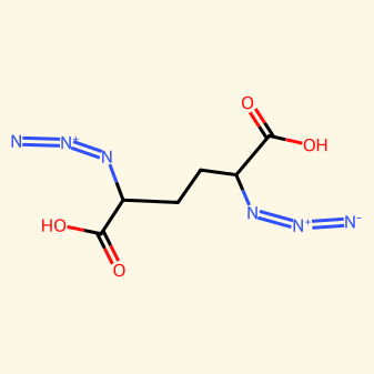 [N-]=[N+]=NC(CCC(N=[N+]=[N-])C(=O)O)C(=O)O